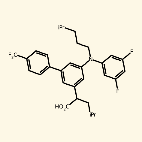 CC(C)CCCN(c1cc(F)cc(F)c1)c1cc(-c2ccc(C(F)(F)F)cc2)cc(C(CC(C)C)C(=O)O)c1